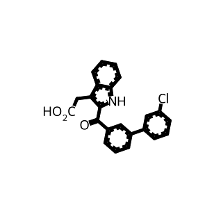 O=C(O)Cc1c(C(=O)c2cccc(-c3cccc(Cl)c3)c2)[nH]c2ccccc12